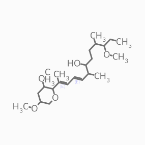 CCC(OC)C(C)CCC(O)C(C)/C=C/C=C(\C)C1OCC(OC)CC1OC